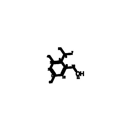 Cc1cc(C)c(C(C)C)c(CO)c1